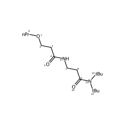 CCCOCCC(=O)NCCC(=O)N(C(C)(C)C)C(C)(C)C